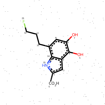 O=C(O)c1cc2c(O)c(O)cc(CCCF)c2[nH]1